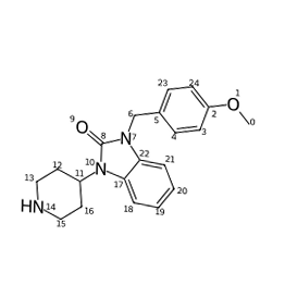 COc1ccc(Cn2c(=O)n(C3CCNCC3)c3ccccc32)cc1